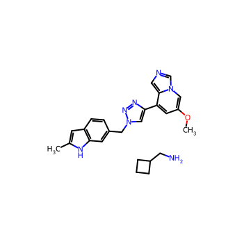 COc1cc(-c2cn(Cc3ccc4cc(C)[nH]c4c3)nn2)c2cncn2c1.NCC1CCC1